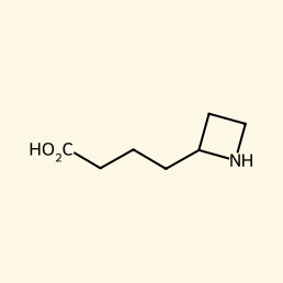 O=C(O)CCCC1CCN1